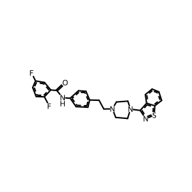 O=C(Nc1ccc(CCN2CCN(c3nsc4ccccc34)CC2)cc1)c1cc(F)ccc1F